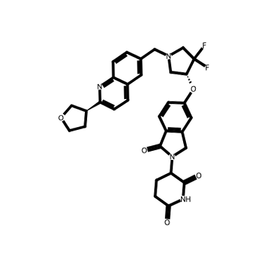 O=C1CCC(N2Cc3cc(O[C@@H]4CN(Cc5ccc6nc([C@H]7CCOC7)ccc6c5)CC4(F)F)ccc3C2=O)C(=O)N1